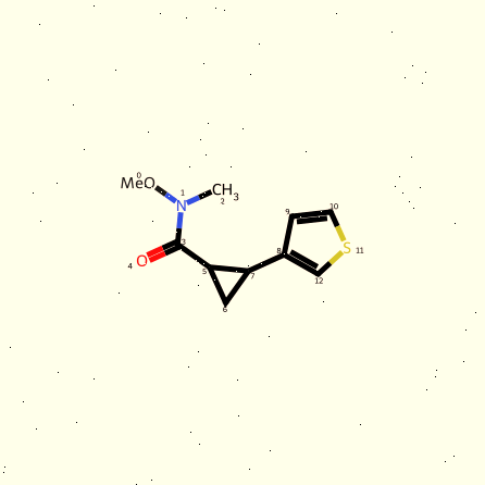 CON(C)C(=O)C1CC1c1ccsc1